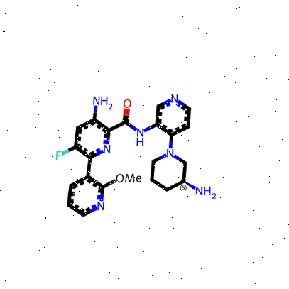 COc1ncccc1-c1nc(C(=O)Nc2cnccc2N2CCC[C@H](N)C2)c(N)cc1F